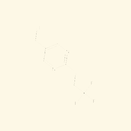 FC(F)(F)COc1ncc(CCl)cn1